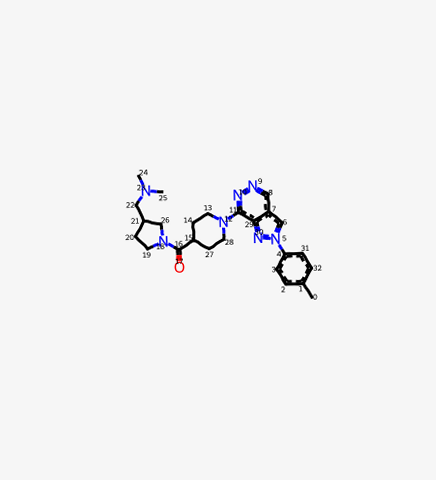 Cc1ccc(-n2cc3cnnc(N4CCC(C(=O)N5CCC(CN(C)C)C5)CC4)c3n2)cc1